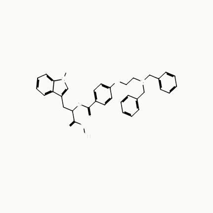 COC(=O)C(Cc1cn(C)c2ccccc12)NC(=O)c1ccc(OCCN(Cc2ccccc2)Cc2ccccc2)cc1